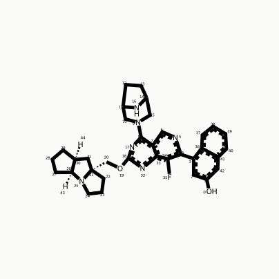 Oc1cc(-c2ncc3c(N4CC5CCC(C4)N5)nc(OC[C@]45CCCN4[C@H]4CCC[C@H]4C5)nc3c2F)c2ccccc2c1